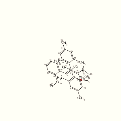 Cc1cc(C)[c]([Ru]([Cl])([Cl])(=[CH]c2ccccc2OC(C)C)(=[C]2NCCN2)[c]2c(C)cc(C)cc2C)c(C)c1